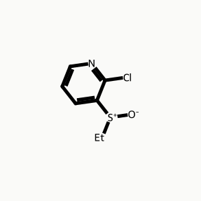 CC[S+]([O-])c1cccnc1Cl